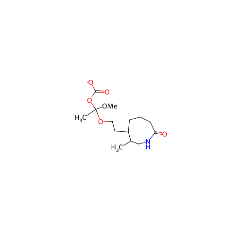 [CH2]OC(C)(OCCC1CCCC(=O)NCC1C)OC([O])=O